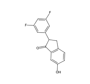 O=C1c2cc(O)ccc2CC1c1cc(F)cc(F)c1